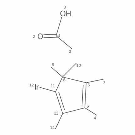 CC(=O)O.CC1=C(C)C(C)(C)[C]([Ir])=C1C